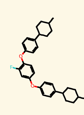 CC1CCC(c2ccc(Oc3ccc(Oc4ccc(C5CCC(C)CC5)cc4)c(F)c3)cc2)CC1